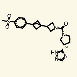 CS(=O)(=O)c1ccc(C23CC(C4CN(C(=O)N5CC[C@H](c6ncn[nH]6)C5)C4)(C2)C3)cc1